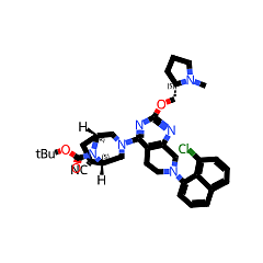 CN1CCC[C@H]1COc1nc2c(c(N3C[C@H]4CC(C#N)[C@@H](C3)N4C(=O)OC(C)(C)C)n1)CCN(c1cccc3cccc(Cl)c13)C2